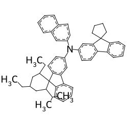 CCC1CC(CC)C2(c3ccccc3-c3cc(N(c4ccc5c(c4)C4(CCCC4)c4ccccc4-5)c4ccc5ccccc5c4)ccc32)C(C(C)C)C1